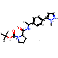 CC(NC(=O)C1CCCN1C(=O)OC(C)(C)C)c1ccc(-c2ccnn2C)cc1